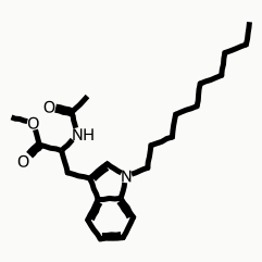 CCCCCCCCCCn1cc(CC(NC(C)=O)C(=O)OC)c2ccccc21